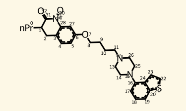 CCCC1Cc2ccc(OCCCCN3CCN(c4cccc5sccc45)CC3)cc2[N+](=O)C1=O